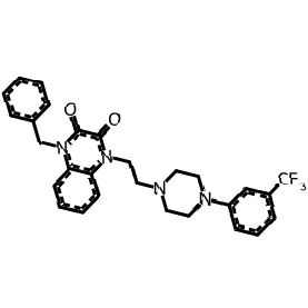 O=c1c(=O)n(Cc2ccccc2)c2ccccc2n1CCN1CCN(c2cccc(C(F)(F)F)c2)CC1